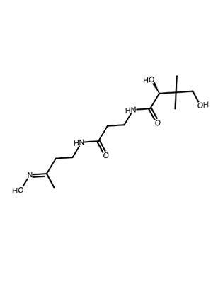 C/C(CCNC(=O)CCNC(=O)[C@@H](O)C(C)(C)CO)=N\O